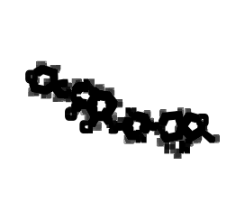 C[C@@H]1OCC2(CCN(c3cnc(Sc4ccc5ncn(CC6(C)CCOCC6)c(=O)c5c4Cl)cn3)CC2)[C@@H]1N